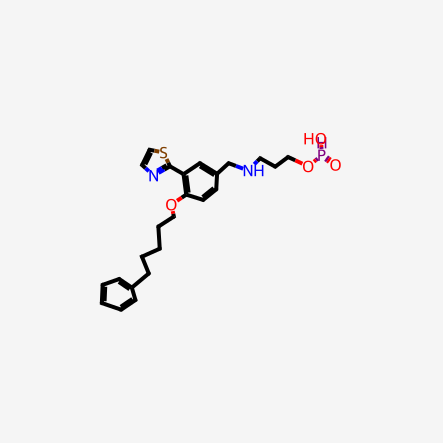 O=[PH](O)OCCCNCc1ccc(OCCCCCc2ccccc2)c(-c2nccs2)c1